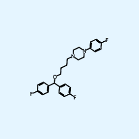 Fc1ccc(C(OCCCCN2CCN(c3ccc(F)cc3)CC2)c2ccc(F)cc2)cc1